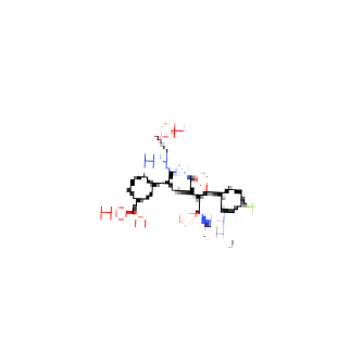 CNC(=O)c1c(-c2ccc(F)cc2)oc2nc(NCCO)c(-c3cccc(C(=O)O)c3)cc12